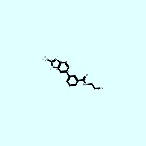 CC(C)CCNC(=O)c1cccc(-c2ccc3nc(N)[nH]c3c2)c1